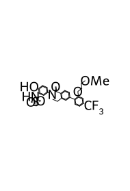 COCCOc1cc(C(F)(F)F)ccc1-c1ccc2c(c1)CCN(c1ccc(O)c(NS(C)(=O)=O)c1)C2=O